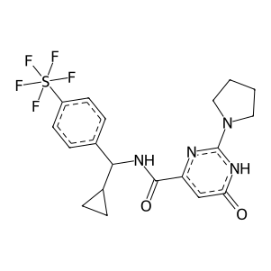 O=C(NC(c1ccc(S(F)(F)(F)(F)F)cc1)C1CC1)c1cc(=O)[nH]c(N2CCCC2)n1